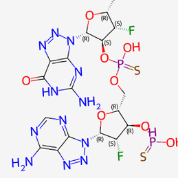 Nc1nc2c(nnn2[C@@H]2O[C@H](CO)[C@H](F)[C@H]2OP(O)(=S)OC[C@H]2O[C@@H](n3nnc4c(N)ncnc43)[C@@H](F)[C@@H]2O[PH](O)=S)c(=O)[nH]1